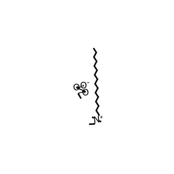 CCCCCCCCCCCCCCCC[N+](C)(C)CC.CCS(=O)(=O)[O-]